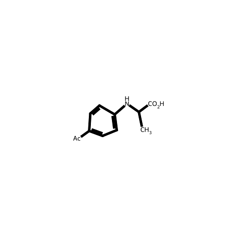 CC(=O)c1ccc(NC(C)C(=O)O)cc1